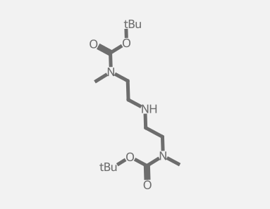 CN(CCNCCN(C)C(=O)OC(C)(C)C)C(=O)OC(C)(C)C